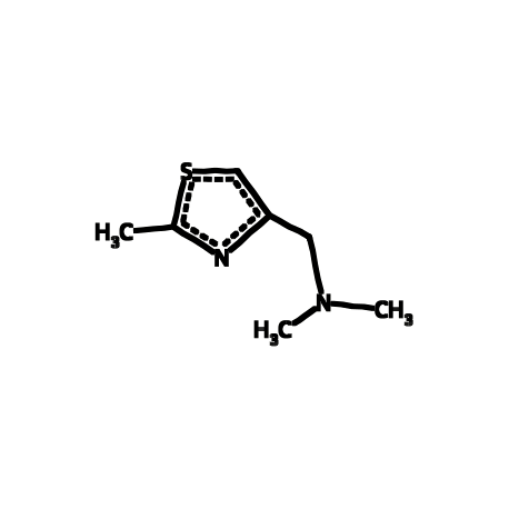 Cc1nc(CN(C)C)cs1